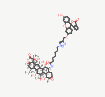 CC(=O)O[C@H]1[C@H]2[C@@H]([C@@H](O)[C@@H](NC(=O)CCCCCCn3cc(COc4ccc5c(c4)Oc4cc(O)ccc4C54OC(=O)c5ccccc54)nn3)C3CC4O[C@@H]4[C@H](O)[C@@]32C)[C@@H]2[C@@H](O)[C@@H]3[C@H]([C@H](C)[C@H]4O[C@]45OC(=O)[C@@](C)(O)[C@]35C)[C@@]2(C(C)=O)[C@H]1O